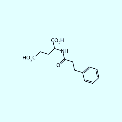 O=C(O)CCC(NC(=O)CCc1ccccc1)C(=O)O